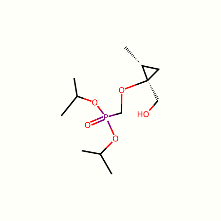 CC(C)OP(=O)(CO[C@]1(CO)C[C@H]1C)OC(C)C